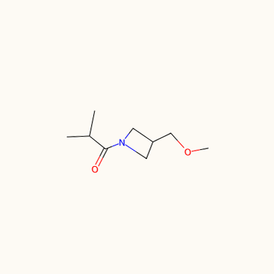 COCC1CN(C(=O)C(C)C)C1